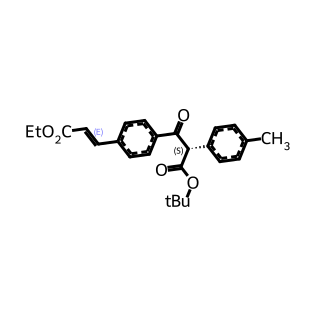 CCOC(=O)/C=C/c1ccc(C(=O)[C@@H](C(=O)OC(C)(C)C)c2ccc(C)cc2)cc1